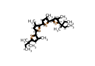 CCC(C)(C)c1cc(C)c(-c2cc(C)c(-c3cc(C)c(-c4cc(C)c(C(C)(CC)CC)s4)s3)s2)s1